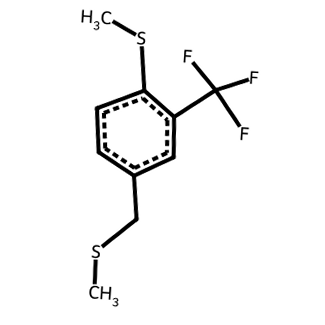 CSCc1ccc(SC)c(C(F)(F)F)c1